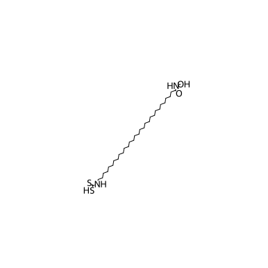 O=C(CCCCCCCCCCCCCCCCCCCCCCCCCCCCCNC(=S)S)NO